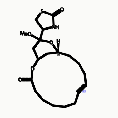 COC1(C2CSC(=O)N2)CC2C[C@@H](CCC/C=C/CCCCCC(=O)O2)O1